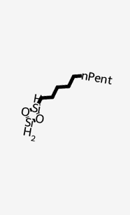 CCCCCCCCCC[SiH]1O[SiH2]O1